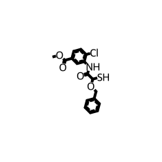 COC(=O)c1ccc(Cl)c(NC(=O)C(S)OCc2ccccc2)c1